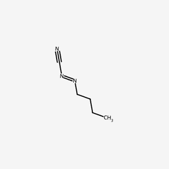 CCCCN=NC#N